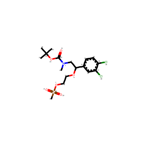 CN(CC(OCCOS(C)(=O)=O)c1ccc(Cl)c(Cl)c1)C(=O)OC(C)(C)C